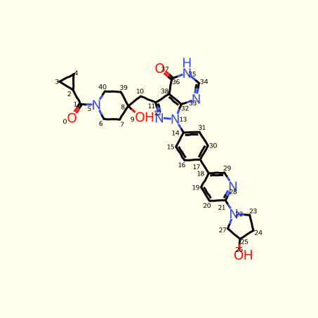 O=C(C1CC1)N1CCC(O)(Cc2nn(-c3ccc(-c4ccc(N5CCC(O)C5)nc4)cc3)c3nc[nH]c(=O)c23)CC1